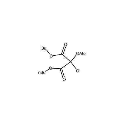 CCCCOC(=O)C([O])(OC)C(=O)OC(C)CC